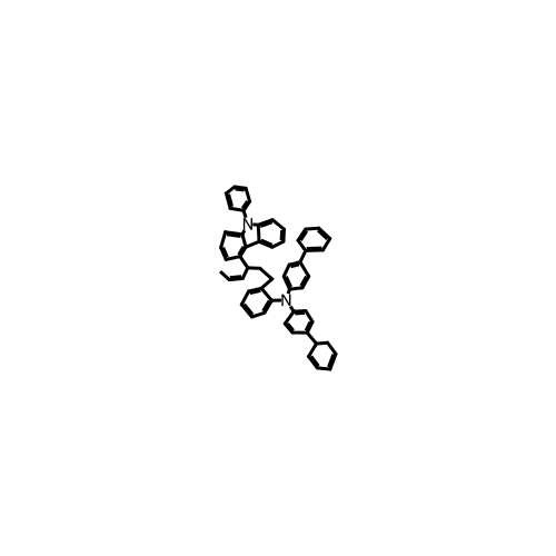 C/C=C\C(CCc1ccccc1N(c1ccc(-c2ccccc2)cc1)c1ccc(C2C=CC=CC2)cc1)c1cccc2c1c1ccccc1n2-c1ccccc1